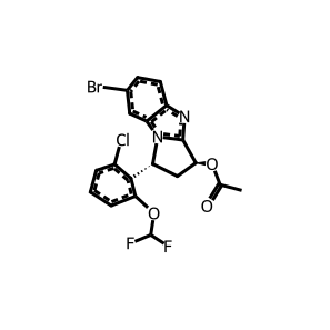 CC(=O)O[C@H]1C[C@H](c2c(Cl)cccc2OC(F)F)n2c1nc1ccc(Br)cc12